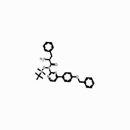 CC(C)(C)[Si](C)(C)ON(C(=O)C(N)Cc1ccccc1)c1nccc(-c2ccc(OCc3ccccc3)cc2)n1